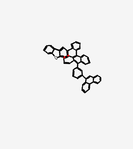 c1cc(-c2c3ccccc3c(-c3ccccc3-c3ccc4oc5ccccc5c4c3)c3ccccc23)cc(-c2cc3ccccc3c3ccccc23)c1